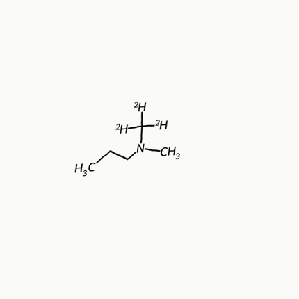 [2H]C([2H])([2H])N(C)CCC